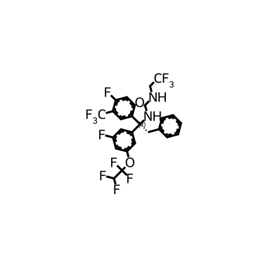 O=C(NCC(F)(F)F)N[C@@](Cc1ccccc1)(c1cc(F)cc(OC(F)(F)C(F)F)c1)c1ccc(F)c(C(F)(F)F)c1